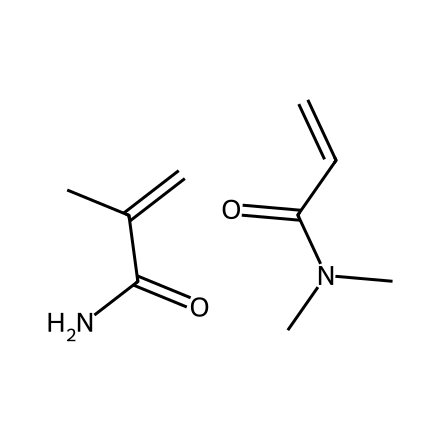 C=C(C)C(N)=O.C=CC(=O)N(C)C